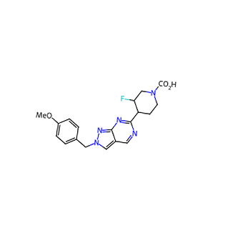 COc1ccc(Cn2cc3cnc(C4CCN(C(=O)O)CC4F)nc3n2)cc1